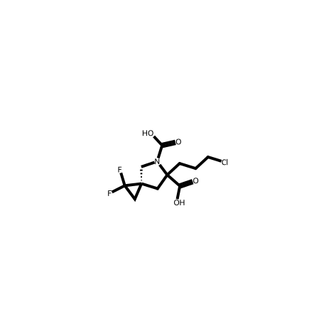 O=C(O)N1C[C@]2(CC1(CCCCl)C(=O)O)CC2(F)F